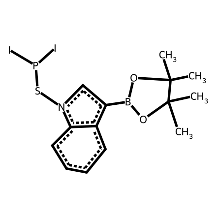 CC1(C)OB(c2cn(SP(I)I)c3ccccc23)OC1(C)C